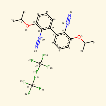 CC(C)Oc1cccc(-c2cccc(OC(C)C)c2[N+]#N)c1[N+]#N.F[B-](F)(F)F.F[B-](F)(F)F